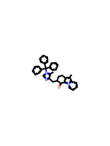 Cc1c2c(n3ccccc13)C(=O)C(Cc1ncn(C(c3ccccc3)(c3ccccc3)c3ccccc3)c1C)CC2